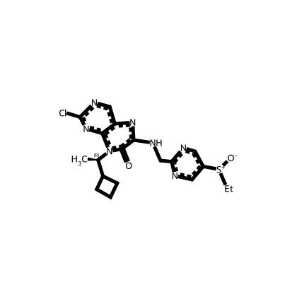 CC[S+]([O-])c1cnc(CNc2nc3cnc(Cl)nc3n([C@H](C)C3CCC3)c2=O)nc1